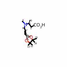 C[C@@H](CC(=O)O)N(C)C/C=C/B1OC(C)(C)C(C)(C)O1